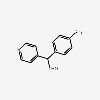 O=CC(c1ccncc1)c1ccc(C(F)(F)F)cc1